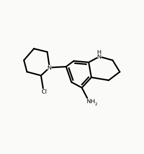 Nc1cc(N2CCCCC2Cl)cc2c1CCCN2